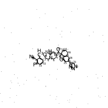 Cc1c([C@H]2CN3CCN(C(=O)C4(C=O)C=CCc5cc(-n6cnnn6)ccc54)C[C@@H]3CO2)ccc(F)c1C#N